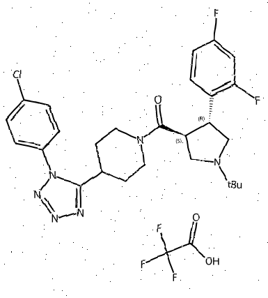 CC(C)(C)N1C[C@@H](C(=O)N2CCC(c3nnnn3-c3ccc(Cl)cc3)CC2)[C@H](c2ccc(F)cc2F)C1.O=C(O)C(F)(F)F